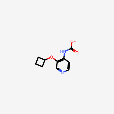 O=C(O)Nc1ccncc1OC1CCC1